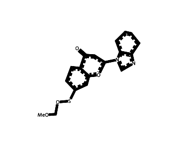 COCOSc1ccc2c(=O)cc(-n3cnc4ccccc43)oc2c1